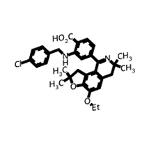 CCOc1cc2c(c3c1OC(C)(C)C3)C(c1ccc(C(=O)O)c(NCc3ccc(Cl)cc3)c1)=NC(C)(C)C2